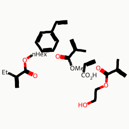 C=C(C)C(=O)OC.C=C(C)C(=O)OCCO.C=C(CC)C(=O)OCCCCCC.C=CC(=O)O.C=Cc1ccccc1